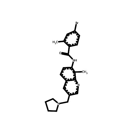 Cc1cc(Br)ccc1C(=O)Nc1ccc2cc(CN3CCCC3)cnc2c1C